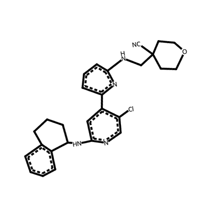 N#CC1(CNc2cccc(-c3cc(NC4CCCc5ccccc54)ncc3Cl)n2)CCOCC1